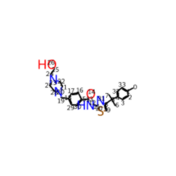 Cc1ccc(C(C)(C)c2csc(NC(=O)c3ccc(CN4CCN(CCO)CC4)cc3)n2)cc1